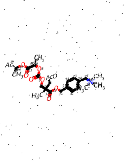 CC(=O)OCC(C)(COC(=O)O[C@H](C)C(=O)O[C@H](C)C(C)=O)C(=O)OCc1ccc(C[N+](C)(C)C)cc1